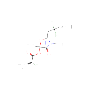 C=C(F)C(=O)OC(OCCC(F)(F)S(=O)(=O)O)(C(=O)NCCC)C(F)(F)F